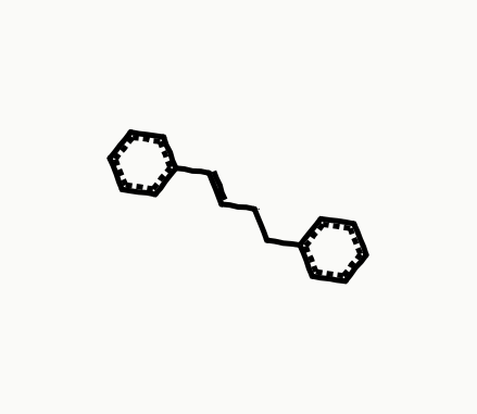 [CH](/C=C/c1ccccc1)Cc1ccccc1